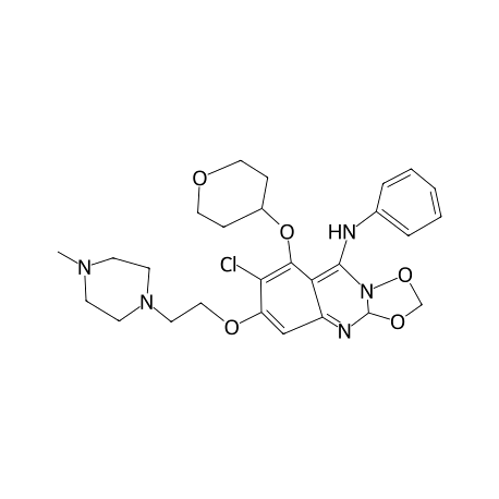 CN1CCN(CCOc2cc3c(c(OC4CCOCC4)c2Cl)=C(Nc2ccccc2)N2OCOC2N=3)CC1